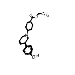 CCOC(=O)C1CCC(N2CCCC(c3ccc(O)cc3)C2)CC1